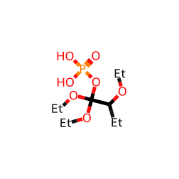 CCOC(CC)C(OCC)(OCC)OP(=O)(O)O